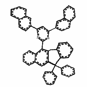 c1ccc(C2(c3ccccc3)c3ccccc3-c3c2cc2ccccc2c3-c2nc(-c3ccc4ccccc4c3)cc(-c3ccc4ccccc4c3)n2)cc1